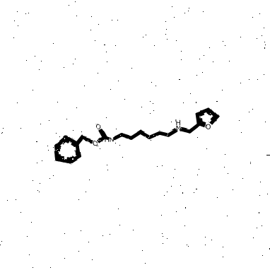 O=C(NCCCCCCNCc1ccco1)OCc1ccccc1